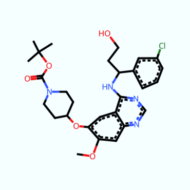 COc1cc2ncnc(NC(CCO)c3cccc(Cl)c3)c2cc1OC1CCN(C(=O)OC(C)(C)C)CC1